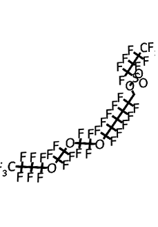 O=S(=O)(OCC(F)(F)C(F)(F)C(F)(F)C(F)(F)C(F)(F)OC(F)(F)C(F)(F)OC(F)(F)C(F)(F)OC(F)(F)C(F)(F)C(F)(F)C(F)(F)F)C(F)(F)C(F)(F)C(F)(F)C(F)(F)F